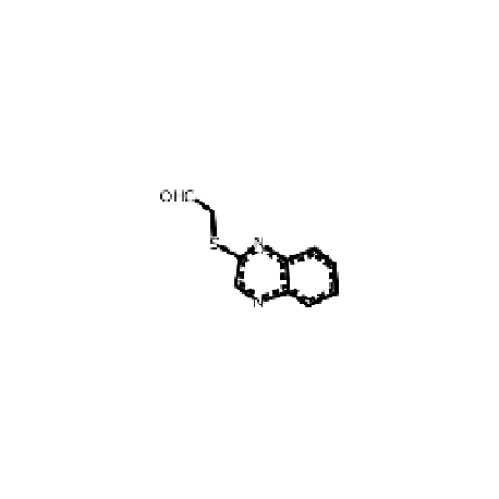 O=CCSc1cnc2ccccc2n1